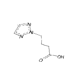 O=C(O)CCCn1n[c]cn1